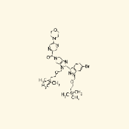 C[Si](C)(C)CCOCn1c(-c2nn(COCC[Si](C)(C)C)c3cc(Br)ccc23)nc2c1CN(C(=O)c1cnc(N3CCOCC3)cn1)C2